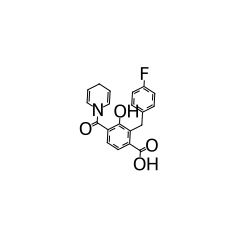 O=C(O)c1ccc(C(=O)N2C=CCC=C2)c(O)c1Cc1ccc(F)cc1